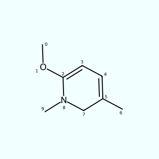 COC1=CC=C(C)CN1C